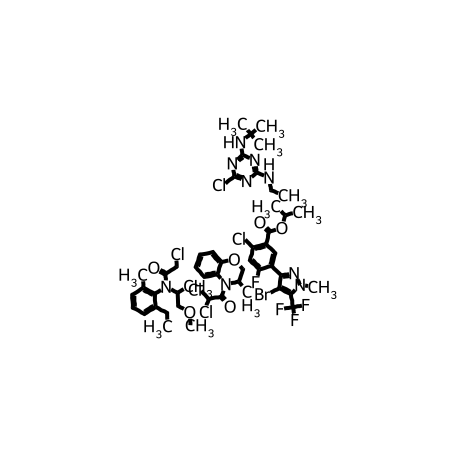 CC(C)OC(=O)c1cc(-c2nn(C)c(C(F)(F)F)c2Br)c(F)cc1Cl.CC1COc2ccccc2N1C(=O)C(Cl)Cl.CCNc1nc(Cl)nc(NC(C)(C)C)n1.CCc1cccc(C)c1N(C(=O)CCl)C(C)COC